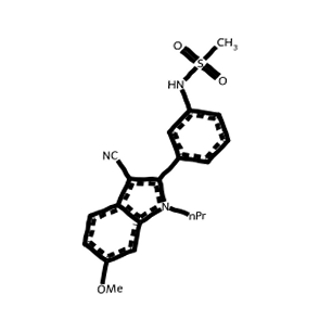 CCCn1c(-c2cccc(NS(C)(=O)=O)c2)c(C#N)c2ccc(OC)cc21